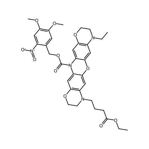 CCOC(=O)CCCN1CCOc2cc3c(cc21)Oc1cc2c(cc1N3C(=O)OCc1cc(OC)c(OC)cc1[N+](=O)[O-])OCCN2CC